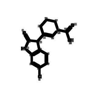 O=C1Nc2cc(Cl)ccc2C1C1=CN(C(=O)O)CCC1